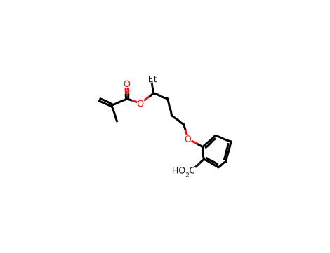 C=C(C)C(=O)OC(CC)CCCOc1ccccc1C(=O)O